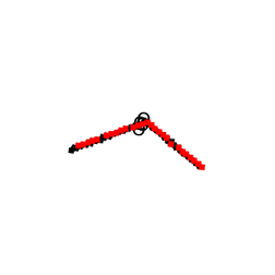 CCCCCCCCCCCCCCCCCCCCCCCCCCCCCC(=O)OOC(=O)CCCCCCCCCCCCCCCCCCCCCCCCCCCCC